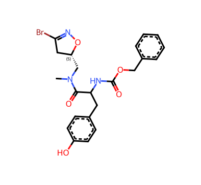 CN(C[C@@H]1CC(Br)=NO1)C(=O)C(Cc1ccc(O)cc1)NC(=O)OCc1ccccc1